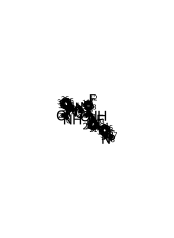 NC(=O)c1nn(CC(=O)N2C[C@H](F)C[C@H]2C(=O)Nc2cccc(-c3ccc4scnc4c3)c2F)c2ccccc12